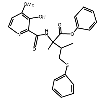 COc1ccnc(C(=O)NC(C)(C(=O)Oc2ccccc2)C(C)CSc2ccccc2)c1O